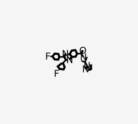 O=C(c1ccc2nc(-c3ccc(F)cc3)c(-c3ccc(F)cc3)nc2c1)N1CC(n2cccn2)C1